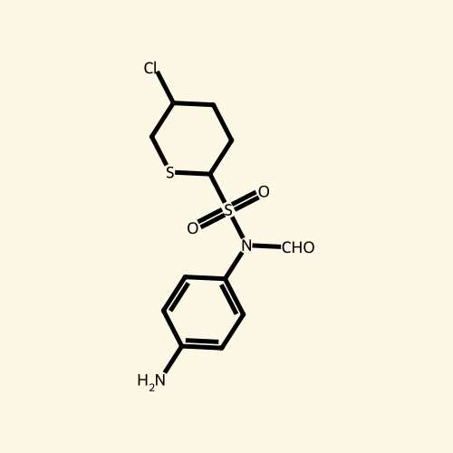 Nc1ccc(N(C=O)S(=O)(=O)C2CCC(Cl)CS2)cc1